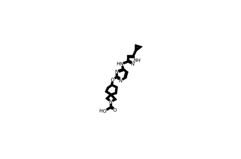 O=C(O)N1CC2(CCC(Oc3nccc(Nc4cc(C5CC5)[nH]n4)n3)CC2)C1